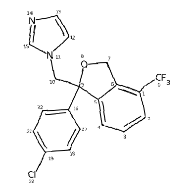 FC(F)(F)c1cccc2c1COC2(Cn1ccnc1)c1ccc(Cl)cc1